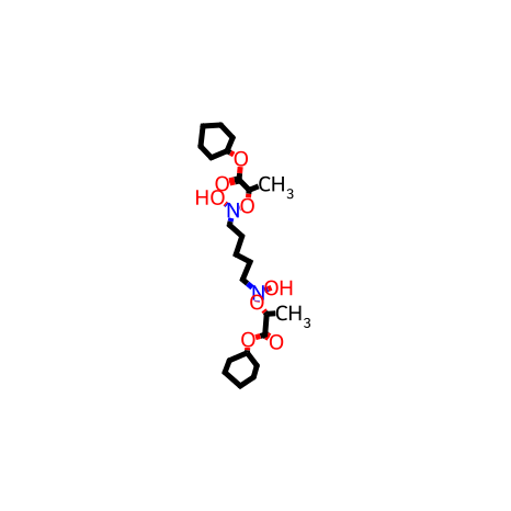 CC(ON(O)CCCCCN(O)OC(C)C(=O)OC1CCCCC1)C(=O)OC1CCCCC1